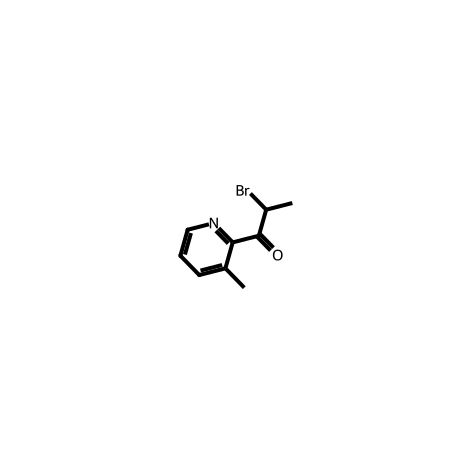 Cc1cccnc1C(=O)C(C)Br